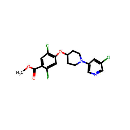 COC(=O)c1cc(Cl)c(OC2CCN(c3cncc(Cl)c3)CC2)cc1F